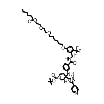 CCCCCC(=O)OCCOCCOCCCCCCOc1ccc(C(F)(F)F)c(CNC(=O)c2cccc(NC3(c4nnc(-c5ccncc5)[nH]4)CCN(C(=O)OC(C)(C)C)CC3)c2)c1